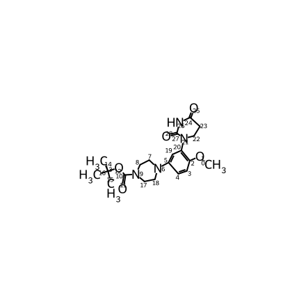 COc1ccc(N2CCN(C(=O)OC(C)(C)C)CC2)cc1N1CCC(=O)NC1=O